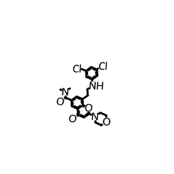 CN(C)C(=O)c1cc(CCNc2cc(Cl)cc(Cl)c2)c2oc(N3CCOCC3)cc(=O)c2c1